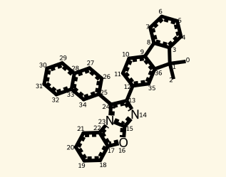 CC1(C)c2ccccc2-c2ccc(-c3nc4oc5ccccc5n4c3-c3ccc4ccccc4c3)cc21